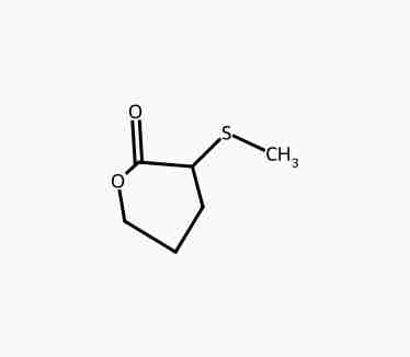 CSC1CCCOC1=O